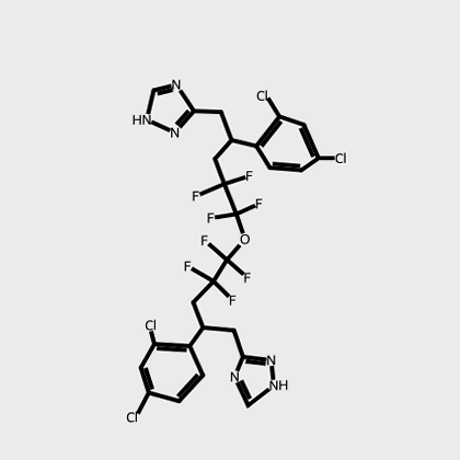 FC(F)(CC(Cc1nc[nH]n1)c1ccc(Cl)cc1Cl)C(F)(F)OC(F)(F)C(F)(F)CC(Cc1nc[nH]n1)c1ccc(Cl)cc1Cl